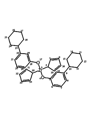 C1=C[CH]([Zr]([O]c2cccc(C3CCCCC3)c2)([O]c2cccc(C3CCCCC3)c2)[CH]2C=CC=C2)C=C1